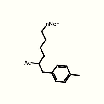 CCCCCCCCCCCCCC(Cc1ccc(C)cc1)C(C)=O